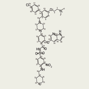 CN(C)CCOc1ccc(CN2CCN(c3ccc(C(=O)NS(=O)(=O)c4ccc(NCC5CCOCC5)c([N+](=O)[O-])c4)c(Oc4cnc5[nH]ccc5c4)c3)CC2)c(-c2ccc(Cl)cc2)c1